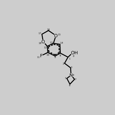 OC(CCN1CCC1)c1cc(F)c2c(c1)OCCO2